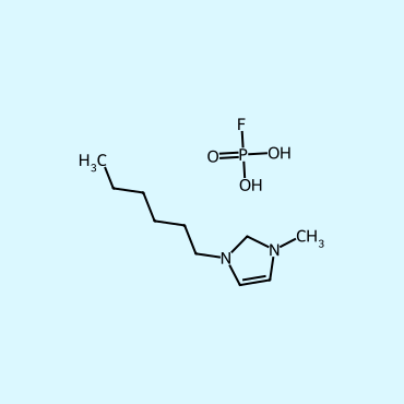 CCCCCCN1C=CN(C)C1.O=P(O)(O)F